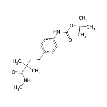 CNC(=O)C(C)(C)CCc1ccc(NC(=O)OC(C)(C)C)cc1